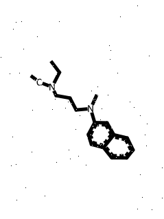 CCN(CC)CCCN(C)c1ccc2ccccc2c1